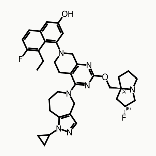 CCc1c(F)ccc2cc(O)cc(N3CCc4c(nc(OC[C@@]56CCCN5C[C@H](F)C6)nc4N4CCCc5c(cnn5C5CC5)C4)C3)c12